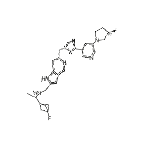 CC(NCc1cc2cnc(Cn3cnc(-c4cncc(N5CC[C@@H](F)C5)c4)n3)cc2[nH]1)C12CC(F)(C1)C2